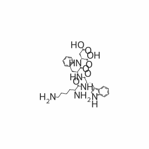 NCCCC[C@@H](N)C(=O)N[C@@H](Cc1c[nH]c2ccccc12)C(=O)N[C@@H](Cc1ccccc1)C(=O)N[C@@H](CC(=O)O)C(=O)O